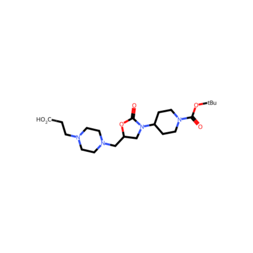 CC(C)(C)OC(=O)N1CCC(N2CC(CN3CCN(CCC(=O)O)CC3)OC2=O)CC1